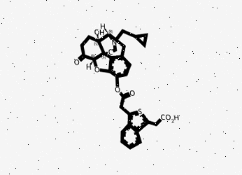 O=C(O)Cc1sc(CC(=O)Oc2ccc3c4c2O[C@H]2C(=O)CC[C@@]5(O)[C@@H](C3)N(CC3CC3)CC[C@]425)c2ccccc12